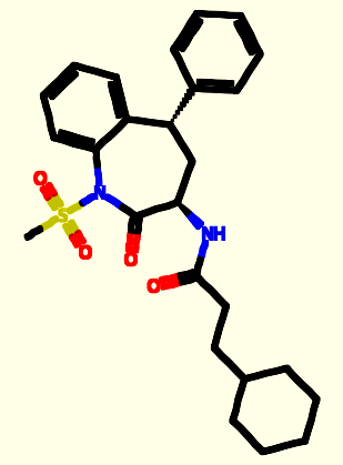 CS(=O)(=O)N1C(=O)[C@H](NC(=O)CCC2CCCCC2)C[C@@H](c2ccccc2)c2ccccc21